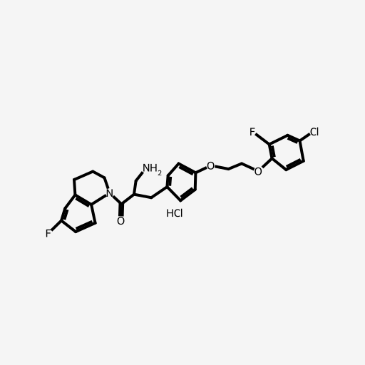 Cl.NCC(Cc1ccc(OCCOc2ccc(Cl)cc2F)cc1)C(=O)N1CCCc2cc(F)ccc21